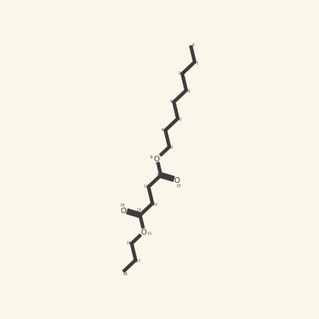 CCCCCCCCOC(=O)CCC(=O)OCCC